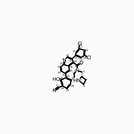 CCN(C[C@@H]1CCN1)C(=O)c1c(-c2cc(Cl)cc(Cl)c2)cnc2ccc(-c3cccc(C#N)c3O)cc12